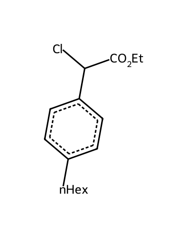 CCCCCCc1ccc(C(Cl)C(=O)OCC)cc1